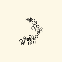 C=C1NN=C2c3cc(-c4ccccc4)c(-c4ccc(C5(NC(=O)OCc6ccc(NC(=O)[C@@H]7CC(F)(F)CN7C(=O)[C@@H](C)NC(=O)c7ccnc8ccccc78)cc6)CCC5)cc4)nc3C=CN12